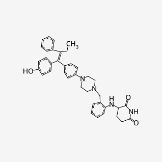 CCC(=C(c1ccc(O)cc1)c1ccc(N2CCN(Cc3ccccc3NC3CCC(=O)NC3=O)CC2)cc1)c1ccccc1